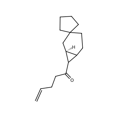 C=CCCC(=O)C1C2CCC3(CCCC3)C[C@@H]21